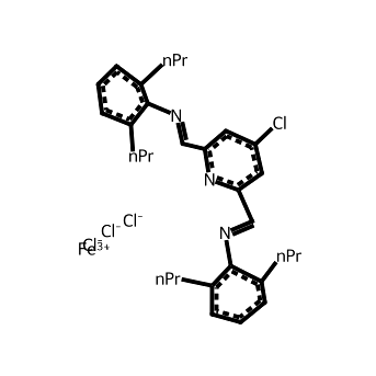 CCCc1cccc(CCC)c1N=Cc1cc(Cl)cc(C=Nc2c(CCC)cccc2CCC)n1.[Cl-].[Cl-].[Cl-].[Fe+3]